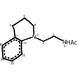 CC(=O)NCCN1CCCc2c[c]ccc21